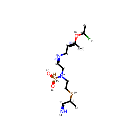 CC/C(=C\C/N=C\CN(CCSC(C)C=N)[SH](=O)=O)OC(C)F